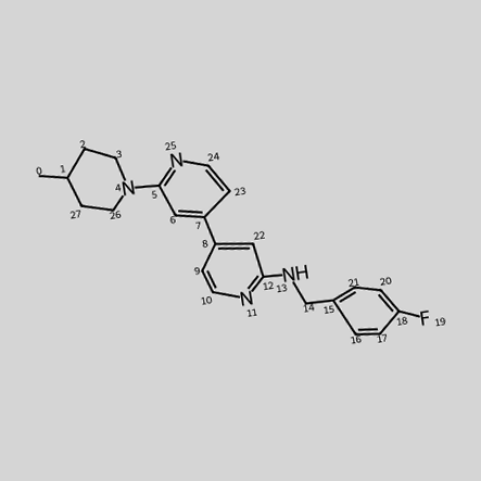 CC1CCN(c2cc(-c3ccnc(NCc4ccc(F)cc4)c3)ccn2)CC1